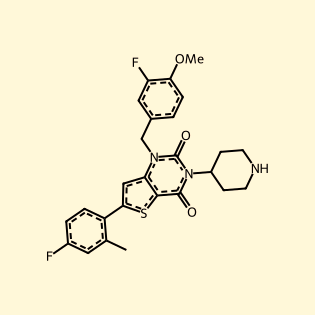 COc1ccc(Cn2c(=O)n(C3CCNCC3)c(=O)c3sc(-c4ccc(F)cc4C)cc32)cc1F